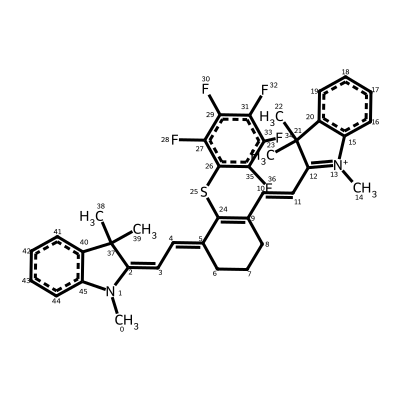 CN1/C(=C/C=C2\CCCC(/C=C/C3=[N+](C)c4ccccc4C3(C)C)=C2Sc2c(F)c(F)c(F)c(F)c2F)C(C)(C)c2ccccc21